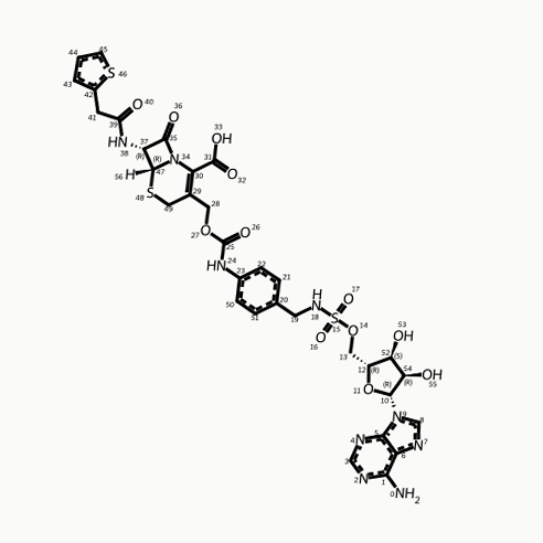 Nc1ncnc2c1ncn2[C@@H]1O[C@H](COS(=O)(=O)NCc2ccc(NC(=O)OCC3=C(C(=O)O)N4C(=O)[C@@H](NC(=O)Cc5cccs5)[C@H]4SC3)cc2)[C@@H](O)[C@H]1O